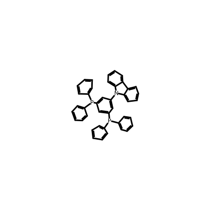 c1ccc(P(c2ccccc2)c2cc(-n3c4ccccc4c4ccccc43)cc(P(c3ccccc3)c3ccccc3)c2)cc1